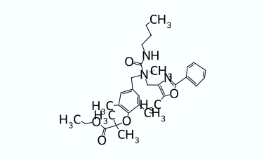 CCCCNC(=O)[N+](C)(Cc1cc(C)c(OC(C)(C)C(=O)OCC)c(C)c1)Cc1nc(-c2ccccc2)oc1C